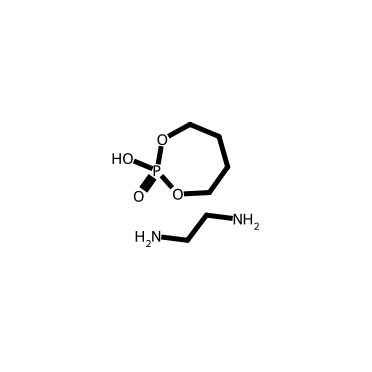 NCCN.O=P1(O)OCCCCO1